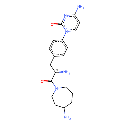 Nc1ccn(-c2ccc(C[C@@H](N)C(=O)N3CCCC(N)CC3)cc2)c(=O)n1